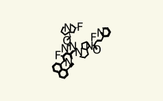 C#Cc1cccc2cccc(-c3ncc4c(N5CCCC6C5CCN6C(=O)/C(F)=C/c5ccccn5)nc(OC[C@@]56CCCN5C[C@H](F)C6)nc4c3F)c12